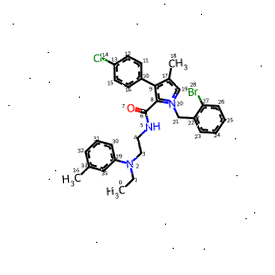 CCN(CCNC(=O)c1c(-c2ccc(Cl)cc2)c(C)cn1Cc1ccccc1Br)c1cccc(C)c1